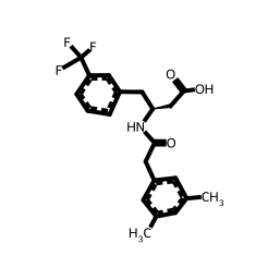 Cc1cc(C)cc(CC(=O)N[C@H](CC(=O)O)Cc2cccc(C(F)(F)F)c2)c1